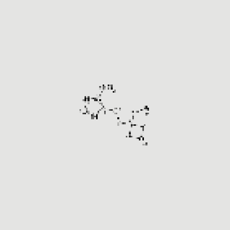 O=[N+]([O-])c1nonc1OCC1(CBr)COC1